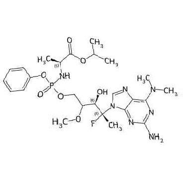 COC(COP(=O)(N[C@@H](C)C(=O)OC(C)C)Oc1ccccc1)[C@@H](O)[C@@](C)(F)n1cnc2c(N(C)C)nc(N)nc21